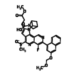 COCOc1cc(-c2ncc3c(nc([S+](C)[O-])c4cc(CCC(=O)OC)n(C5C6CC5N(C(=O)O)C6)c43)c2F)c2ccccc2c1